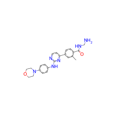 Cc1cc(-c2ccnc(Nc3ccc(N4CCOCC4)cc3)n2)ccc1C(=O)NCN